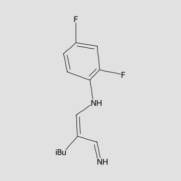 CCC(C)/C(C=N)=C/Nc1ccc(F)cc1F